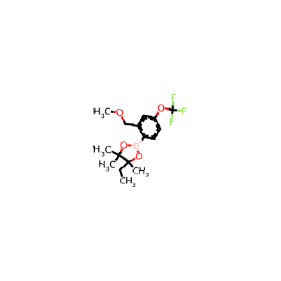 CCC1(C)OB(c2ccc(OC(F)(F)F)cc2COC)OC1(C)C